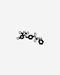 O=C1CCC2(C1)C(=O)[N]C(=O)N2Cc1ccc(NC(=O)Nc2ccccc2)cc1